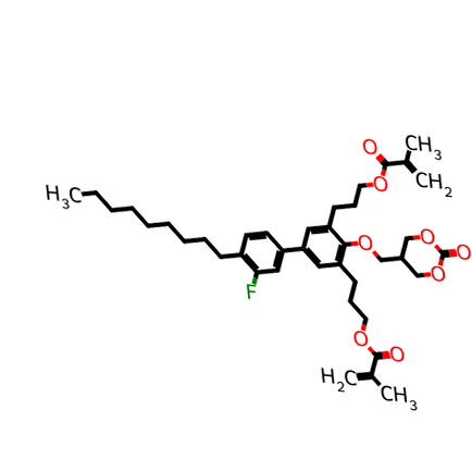 C=C(C)C(=O)OCCCc1cc(-c2ccc(CCCCCCCCC)c(F)c2)cc(CCCOC(=O)C(=C)C)c1OCC1COC(=O)OC1